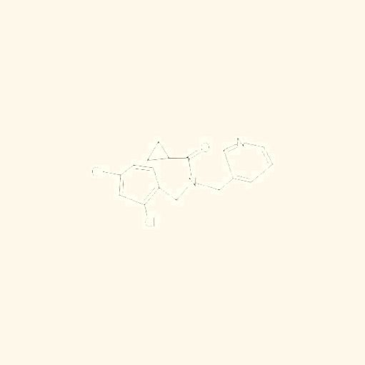 O=C(C1CC1)N(Cc1cccnc1)Cc1ccc(Cl)cc1Cl